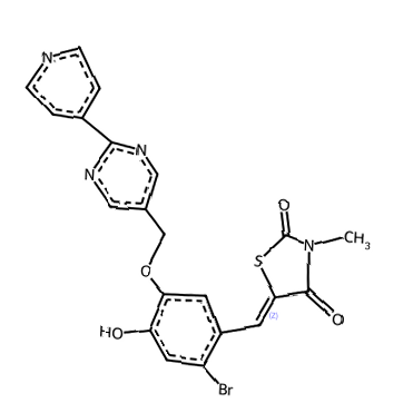 CN1C(=O)S/C(=C\c2cc(OCc3cnc(-c4ccncc4)nc3)c(O)cc2Br)C1=O